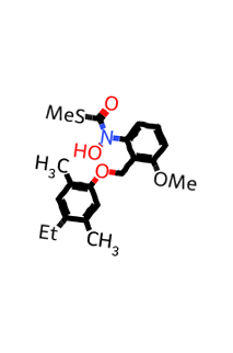 CCc1cc(C)c(OCc2c(OC)cccc2N(O)C(=O)SC)cc1C